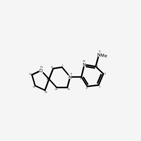 CNc1cccc(N2CCC3(CCCO3)CC2)n1